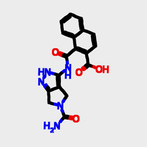 NC(=O)N1Cc2n[nH]c(NC(=O)c3c(C(=O)O)ccc4ccccc34)c2C1